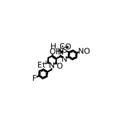 CC[C@H]1CC(O)=C(C2=Nc3ccc(N=O)cc3S(C)(=O)=N2)C(=O)N1Cc1ccc(F)cc1